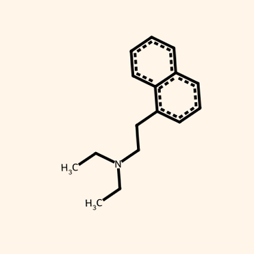 CCN(CC)CCc1cccc2ccccc12